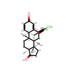 C[C@]12CC[C@H]3[C@@H](C[C@@H](Br)C4=CC(=O)C=C[C@@]43CC#CCl)[C@@H]1CCC2=O